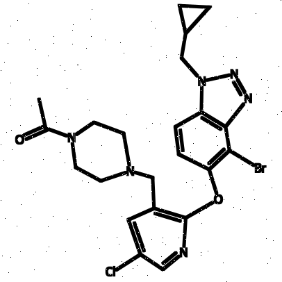 CC(=O)N1CCN(Cc2cc(Cl)cnc2Oc2ccc3c(nnn3CC3CC3)c2Br)CC1